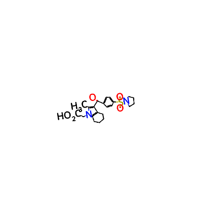 Cc1c(C(=O)c2ccc(S(=O)(=O)N3CCCC3)cc2)c2c(n1CC(=O)O)CCCC2